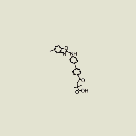 Cc1ccc2oc(Nc3ccc(-c4ccc(C(=O)CC(C)(C)C(=O)O)cc4)cc3)nc2c1